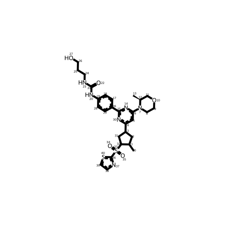 CC1CC(c2cc(N3CCOC[C@@H]3C)nc(-c3ccc(NC(=O)NCCCO)cc3)n2)CC1S(=O)(=O)c1nccs1